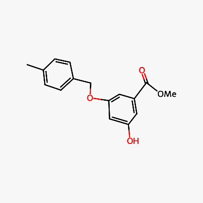 COC(=O)c1cc(O)cc(OCc2ccc(C)cc2)c1